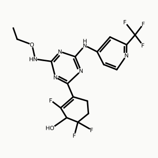 CCONc1nc(Nc2ccnc(C(F)(F)F)c2)nc(C2=C(F)C(O)C(F)(F)CC2)n1